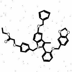 CCOC(=O)COc1ccc(Cn2c(-c3ccccc3OCc3ccc4c(c3)OCO4)c(C)c3cc(OCc4ccccc4)ccc32)cc1